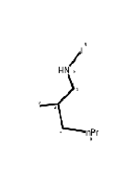 CCCCC(C)CNI